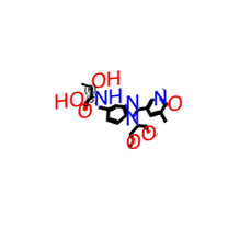 COCC(COC)n1c(-c2cc(C)c(=O)n(C)c2)nc2cc(CN[C@H](C(=O)O)[C@@H](C)O)ccc21